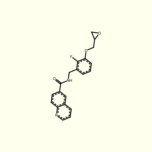 O=C(NCc1cccc(OCC2CO2)c1F)c1ccc2ncccc2c1